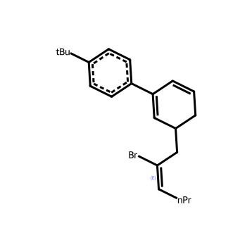 CCC/C=C(/Br)CC1C=C(c2ccc(C(C)(C)C)cc2)C=CC1